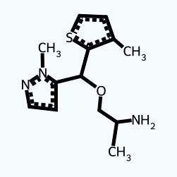 Cc1ccsc1C(OCC(C)N)c1ccnn1C